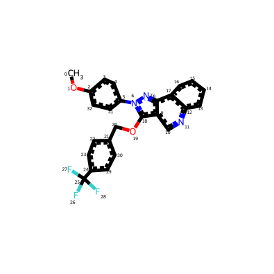 COc1ccc(-n2nc3c(cnc4ccccc43)c2OCc2ccc(C(F)(F)F)cc2)cc1